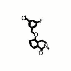 CN1CCc2c(OCc3cc(F)cc(Cl)c3)cccc2C1=O